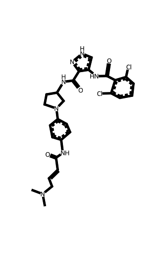 CN(C)CC=CC(=O)Nc1ccc(N2CCC(NC(=O)c3n[nH]cc3NC(=O)c3c(Cl)cccc3Cl)C2)cc1